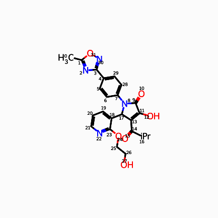 Cc1nc(-c2ccc(N3C(=O)C(O)=C(C(=O)C(C)C)C3c3cccnc3OCCO)cc2)no1